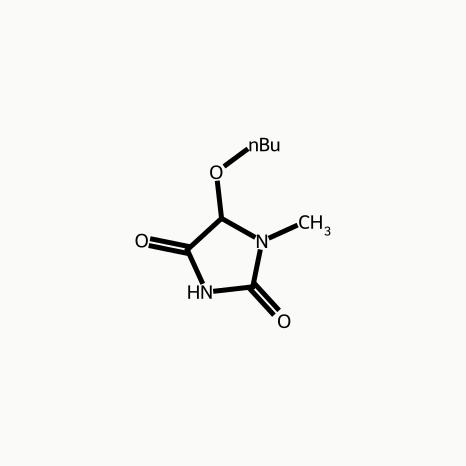 CCCCOC1C(=O)NC(=O)N1C